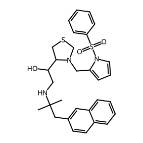 CC(C)(Cc1ccc2ccccc2c1)NCC(O)C1CSCN1Cc1cccn1S(=O)(=O)c1ccccc1